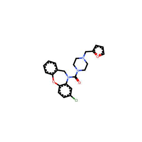 O=C(N1CCN(Cc2ccco2)CC1)N1Cc2ccccc2Oc2ccc(Cl)cc21